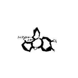 CC(=O)N[C@@H]1CCCN2c3cc(C#N)c(F)cc3Oc3cccc(F)c3[C@H]12